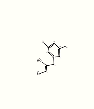 CCC=C(O)Cc1cc(C)cc(C)c1